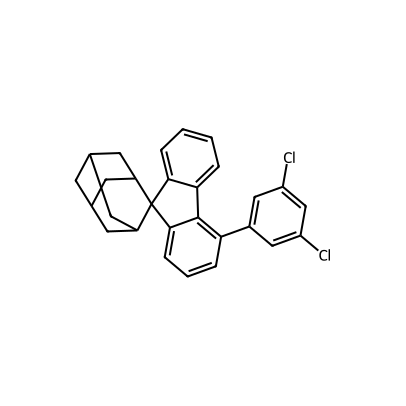 Clc1cc(Cl)cc(-c2cccc3c2-c2ccccc2C32C3CC4CC(C3)CC2C4)c1